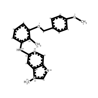 COc1ccc(COc2cccc(Nc3cc4c(cn3)ncn4C)c2C)cc1